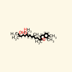 C=C(O)C(C)CCCC(C)(O)CC/C=C(\C)CCCC1(C)CCC2C=CC(C)C(C)C2O1